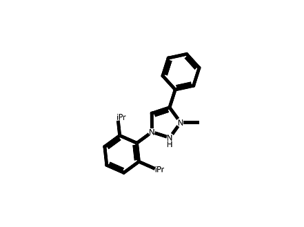 CC(C)c1cccc(C(C)C)c1N1C=C(c2ccccc2)N(C)N1